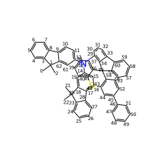 CC1(C)c2ccccc2-c2ccc(N(c3ccc4c(c3)C(C)(C)c3ccccc3-4)c3cccc4c3C3(c5ccccc5Sc5cc(-c6ccccc6)ccc53)c3ccccc3-4)cc21